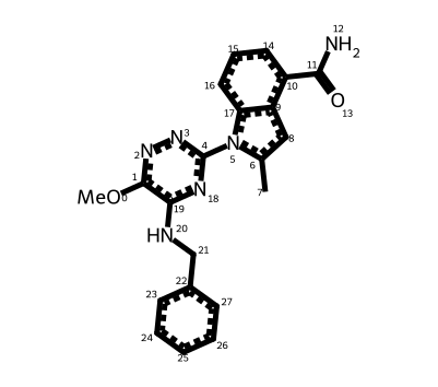 COc1nnc(-n2c(C)cc3c(C(N)=O)cccc32)nc1NCc1ccccc1